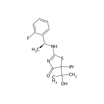 CC(C)C1(C(C)(C)O)SC(N[C@@H](C)c2ccccc2F)=NC1=O